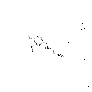 COc1ccc(CNCCC#N)cc1OC